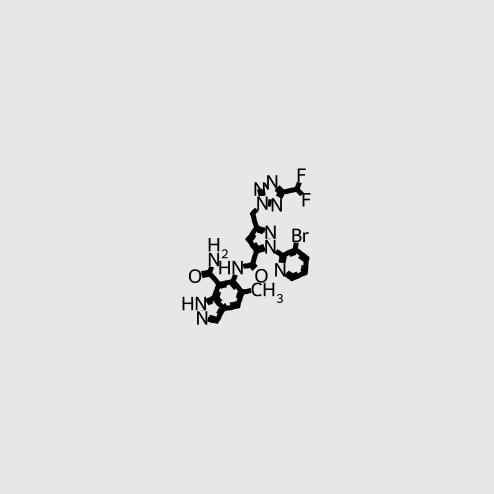 Cc1cc2cn[nH]c2c(C(N)=O)c1NC(=O)c1cc(Cn2nnc(C(F)F)n2)nn1-c1ncccc1Br